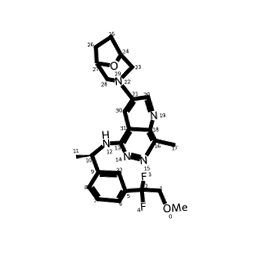 COCC(F)(F)c1cccc([C@@H](C)Nc2nnc(C)c3ncc(N4CC5CCC(C4)O5)cc23)c1